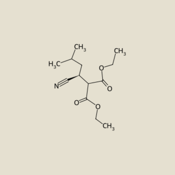 CCOC(=O)C(C(=O)OCC)[C@@H](C#N)CC(C)C